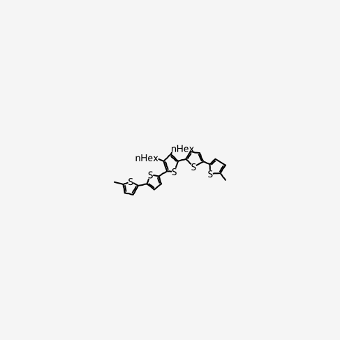 CCCCCCc1c(-c2ccc(-c3ccc(C)s3)s2)sc(-c2ccc(-c3ccc(C)s3)s2)c1CCCCCC